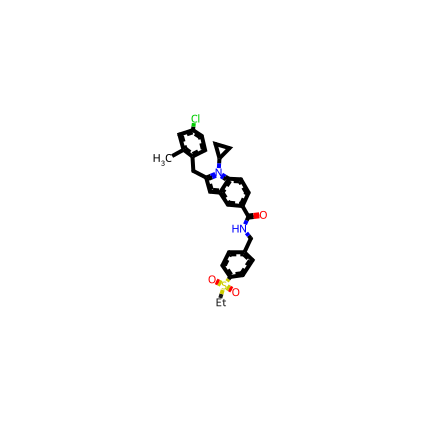 CCS(=O)(=O)c1ccc(CNC(=O)c2ccc3c(c2)cc(Cc2ccc(Cl)cc2C)n3C2CC2)cc1